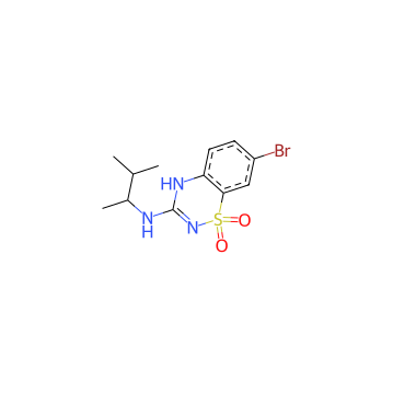 CC(C)C(C)NC1=NS(=O)(=O)c2cc(Br)ccc2N1